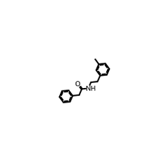 Cc1cccc(CCNC(=O)Cc2ccccc2)c1